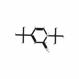 CC(C)(C)c1ccn(C(C)(C)C)c(=O)c1